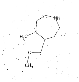 COCC1CCNCCN1C